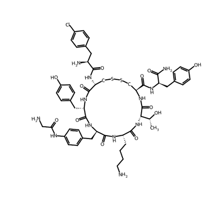 C[C@@H](O)[C@@H]1NC(=O)[C@H](CCCCN)NC(=O)[C@@H](Cc2ccc(NC(=O)CN)cc2)NC(=O)[C@H](Cc2ccc(O)cc2)NC(=O)[C@H](NC(=O)[C@@H](N)Cc2ccc(Cl)cc2)CSSC[C@@H](C(=O)N[C@H](Cc2ccc(O)cc2)C(N)=O)NC1=O